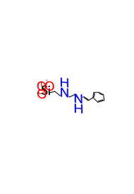 CO[Si](CCCNCCNC=Cc1ccccc1)(OC)OC